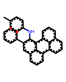 Cc1ccc(Nc2c(-c3ccccc3)cc3cccc4c5cccc6cccc(c2c34)c65)cc1